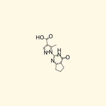 Cc1c(C(=O)O)cnn1-c1nc2c(c(=O)[nH]1)CCC2